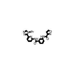 CC(C)n1cnnc1-c1cccc(NC(=O)c2cccc(NC(=O)c3ccon3)c2)n1